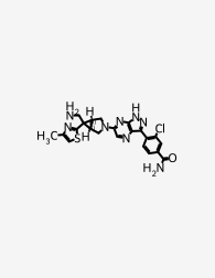 Cc1csc(C2(CN)[C@@H]3CN(c4cnc5c(-c6ccc(C(N)=O)cc6Cl)n[nH]c5n4)C[C@@H]32)n1